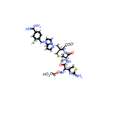 N=C(N)c1ccc(Cn2ccn3c2cc[n+]3CC2=C(C(=O)[O-])N3C(=O)[C@@H](NC(=O)/C(=N\OCC(=O)O)c4csc(N)n4)[C@H]3SC2)c(F)c1